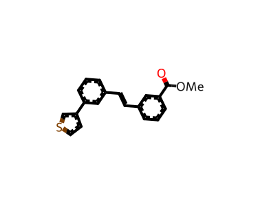 COC(=O)c1cccc(C=Cc2cccc(-c3ccsc3)c2)c1